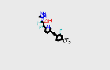 OC(C(F)c1ccc(C#Cc2ccc(C(F)(F)F)cc2F)cn1)C(F)n1cnnn1